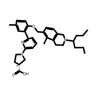 CCCC(CCC)N1CCc2c(ccc(COc3ccc(C)cc3-c3cccc(N4CC[C@@H](C(=O)O)C4)n3)c2C)C1